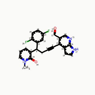 Cn1cccc(C(CC#Cc2c(C=O)cnc3[nH]ccc23)c2cc(F)ccc2F)c1=O